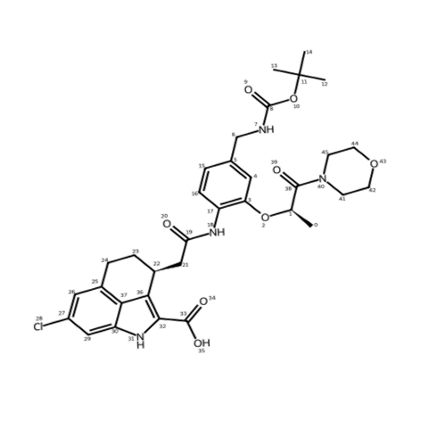 C[C@@H](Oc1cc(CNC(=O)OC(C)(C)C)ccc1NC(=O)C[C@@H]1CCc2cc(Cl)cc3[nH]c(C(=O)O)c1c23)C(=O)N1CCOCC1